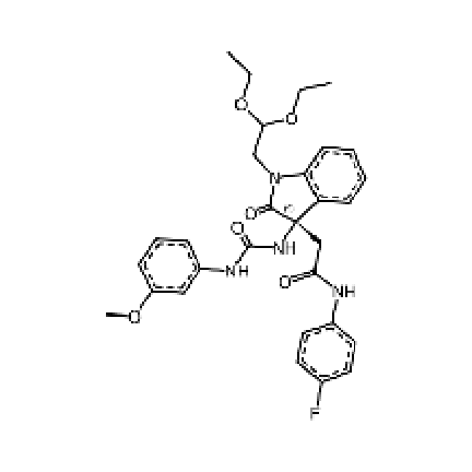 CCOC(CN1C(=O)[C@@](CC(=O)Nc2ccc(F)cc2)(NC(=O)Nc2cccc(OC)c2)c2ccccc21)OCC